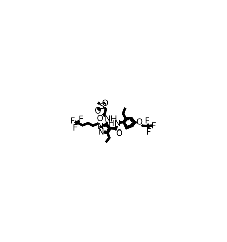 CCc1cc(OCC(F)(F)F)ccc1NC(=O)c1c(CC)nn(CCCCC(F)(F)F)c1NC(=O)CS(C)(=O)=O